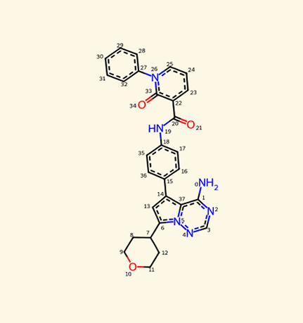 Nc1ncnn2c(C3CCOCC3)cc(-c3ccc(NC(=O)c4cccn(-c5ccccc5)c4=O)cc3)c12